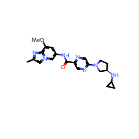 COc1cc(NC(=O)c2cnc(N3CC[C@@H](NC4CC4)C3)cn2)cn2cc(C)nc12